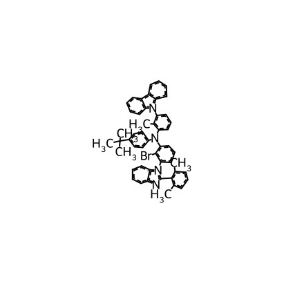 Cc1cccc(C)c1-c1nc2ccccc2n1-c1cccc(N(c2ccc(C(C)(C)C)cc2)c2cccc(-n3c4ccccc4c4ccccc43)c2C)c1Br